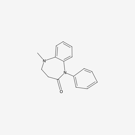 CN1CCC(=O)N(c2ccccc2)c2ccccc21